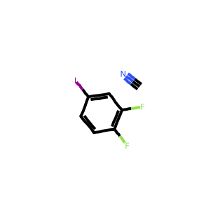 C#N.Fc1ccc(I)cc1F